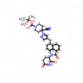 CC(C)(C)OC(=O)N1CCC(C#N)(n2cc(Cc3ccc4c5c(cccc35)C(=O)N4C3CCC(=O)NC3=O)cn2)CC1